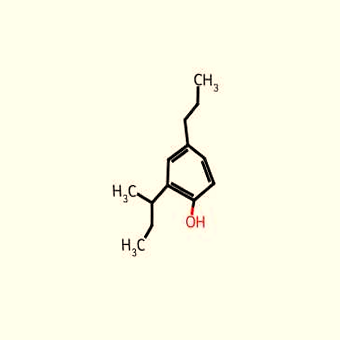 CCCc1ccc(O)c(C(C)CC)c1